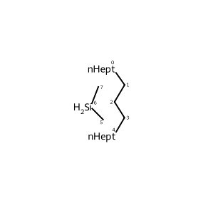 CCCCCCCCCCCCCCCCC.C[SiH2]C